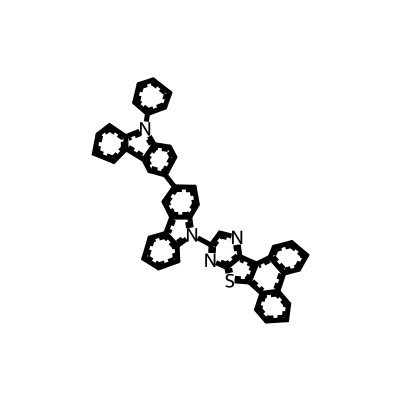 c1ccc(-n2c3ccccc3c3cc(-c4ccc5c(c4)c4ccccc4n5-c4cnc5c(n4)sc4c6ccccc6c6ccccc6c54)ccc32)cc1